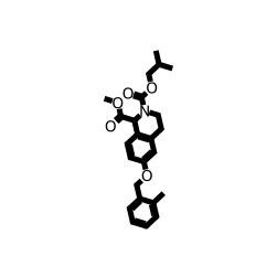 COC(=O)C1c2ccc(OCc3ccccc3C)cc2CCN1C(=O)OCC(C)C